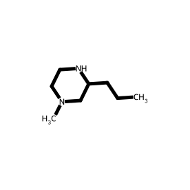 CCCC1CN(C)CCN1